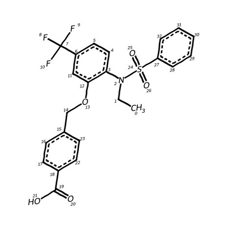 CCN(c1ccc(C(F)(F)F)cc1OCc1ccc(C(=O)O)cc1)S(=O)(=O)c1ccccc1